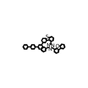 C1=C(c2cccc(-c3ccc(-c4ccccc4)cc3)c2)CCc2sc3cccc(-c4nc(-c5ccccc5)nc(-c5cccc6c5oc5ccccc56)n4)c3c21